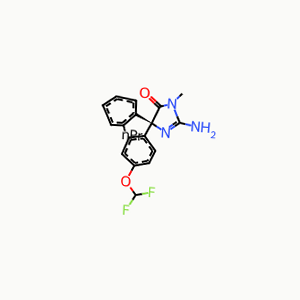 CCCc1ccccc1[C@]1(c2ccc(OC(F)F)cc2)N=C(N)N(C)C1=O